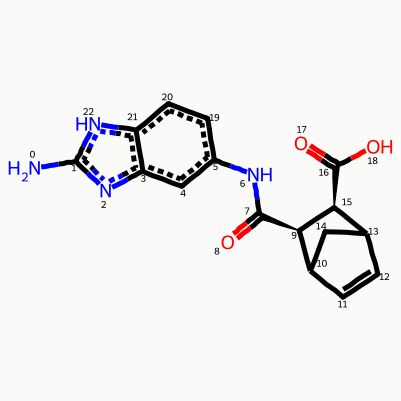 Nc1nc2cc(NC(=O)[C@@H]3C4C=CC(C4)[C@@H]3C(=O)O)ccc2[nH]1